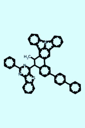 CC1c2c(cc3c4ccccc4n4c5ccccc5c2c34)-c2cc(-c3ccc(-c4ccccc4)cc3)ccc2C1c1nc(-c2ccccc2)nc2c1sc1ccccc12